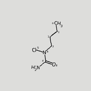 CCCCN(Cl)C(N)=O